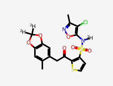 [2H]N(c1onc(C)c1Cl)S(=O)(=O)c1ccsc1C(=O)Cc1cc2c(cc1C)OC([2H])([2H])O2